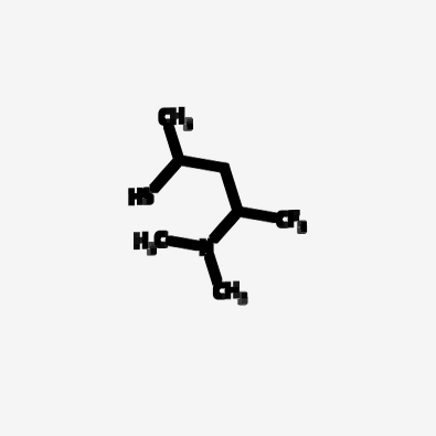 CC(S)CC(N(C)C)C(F)(F)F